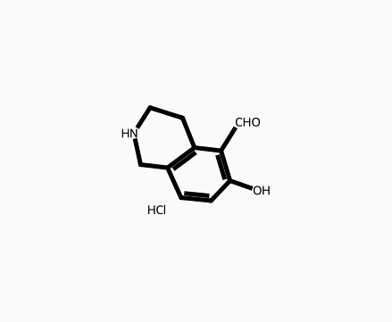 Cl.O=Cc1c(O)ccc2c1CCNC2